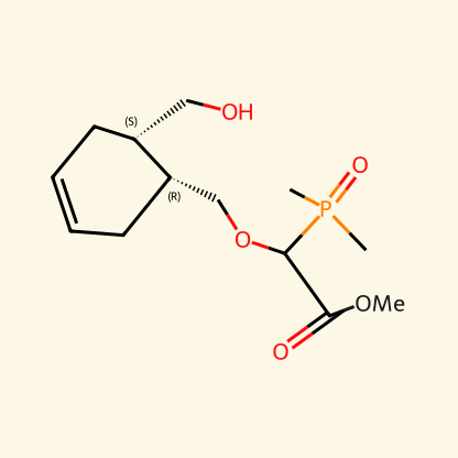 COC(=O)C(OC[C@@H]1CC=CC[C@@H]1CO)P(C)(C)=O